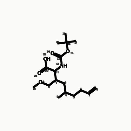 C=CCCC(C)CC(COC)C(NC(=O)OC(C)(C)C)C(=O)O